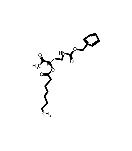 CCCCCCCC(=O)O[C@@H](CCNC(=O)OCc1ccccc1)C(C)=O